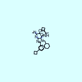 C\N=C(/N=C1/N=C(c2cc(C3CCC3)ccn2)N(CC2CCCCC2)/C1=C\N[C@H](C)C1CCC1)C(=O)O